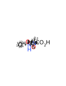 CC1(C)C[C@@H]2[C@H](NC(=O)CCc3ccccc3)C(=O)N2[C@H]1C(=O)O